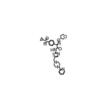 O=C(Nc1ncc(CN2CCN(c3ccccn3)CC2)s1)/C(=N/O[C@@H]1CCOC1)c1ccc(S(=O)(=O)C2CC2)cc1